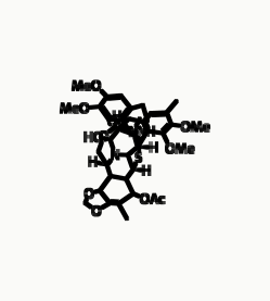 COc1cc2c(cc1OC)[C@@]1(CS[C@@H]3C4C(OC(C)=O)C(C)=C5OCOC5C4[C@H](COC1=O)N1C3[C@H]3c4c(cc(C)c(OC)c4OC)C[C@@H]([C@@H]1O)N3C)NCC2